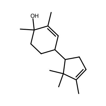 CC1=CC(C2CC=C(C)C2(C)C)CCC1(C)O